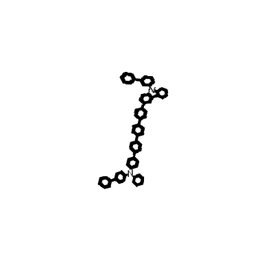 c1ccc(-c2ccc(N(c3ccccc3)c3ccc(-c4ccc(-c5ccc(-c6ccc(-c7ccc8c(c7)c7ccccc7n8-c7cccc(-c8ccccc8)c7)cc6)cc5)cc4)cc3)cc2)cc1